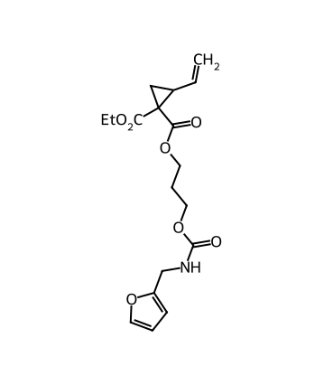 C=CC1CC1(C(=O)OCC)C(=O)OCCCOC(=O)NCc1ccco1